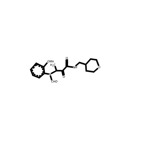 COc1ccccc1N(C=O)C(C)C(=O)C(=O)NCC1CCOCC1